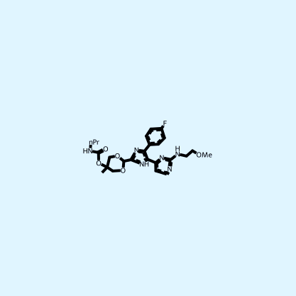 CCCNC(=O)OC1(C)COC(c2nc(-c3ccc(F)cc3)c(-c3ccnc(NCCOC)n3)[nH]2)OC1